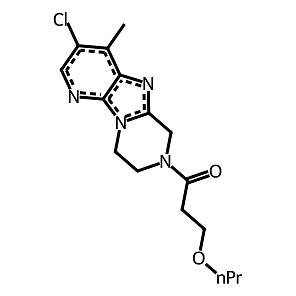 CCCOCCC(=O)N1CCn2c(nc3c(C)c(Cl)cnc32)C1